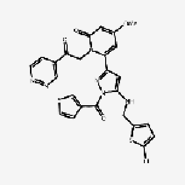 COc1cc(-c2cc(NCc3ccc(Cl)s3)n(C(=O)c3ccsc3)n2)n(CC(=O)c2ccnnc2)c(=O)c1